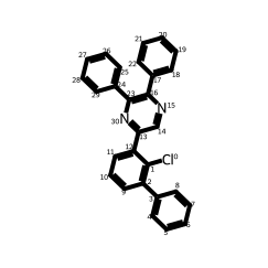 Clc1c(-c2ccccc2)cccc1-c1cnc(-c2ccccc2)c(-c2ccccc2)n1